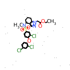 CCOC(=O)Cn1ncc2c1CCC[C@H]2N(C)S(=O)(=O)c1ccc(Oc2ccc(Cl)cc2Cl)c(Cl)c1